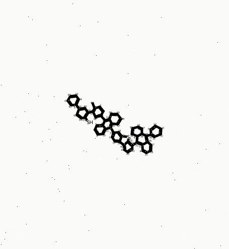 Cc1ccc(-c2c3ccccc3c(-c3ccc4c(c3)sc3c(C5=c6ccccc6=C(c6ccccc6)C6C=CC=CC56)cccc34)c3ccccc23)cc1-c1cc(-c2ccccc2)ccc1S